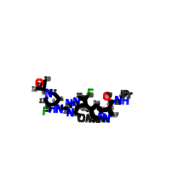 COc1nc(N[C@@H]2CCN(C3COC3)C[C@@H]2F)nn2cc(F)c(-c3ccn4ncc(C(=O)NC(C)C)c4c3)c12